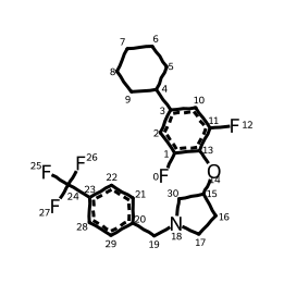 Fc1cc(C2CCCCC2)cc(F)c1OC1CCN(Cc2ccc(C(F)(F)F)cc2)C1